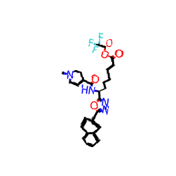 CN1CCC(C(=O)N[C@@H](CCCCCC(=O)OC(=O)C(F)(F)F)c2nnc(-c3ccc4ccccc4c3)o2)CC1